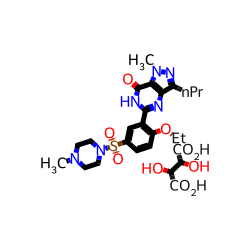 CCCc1nn(C)c2c(=O)[nH]c(-c3cc(S(=O)(=O)N4CCN(C)CC4)ccc3OCC)nc12.O=C(O)C(O)C(O)C(=O)O